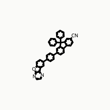 N#Cc1ccc2c(c1)C(c1ccccc1)(c1ccccc1)c1cc(-c3ccc(-c4ccc5oc6nccnc6c5c4)cc3)ccc1-2